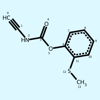 C#CNC(=O)Oc1ccccc1SC